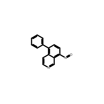 O=Nc1ccc(-c2ccccc2)c2ccncc12